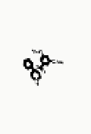 COc1cc(OC)cc(C(=O)OC2(c3ccccc3)CCNCC2)c1